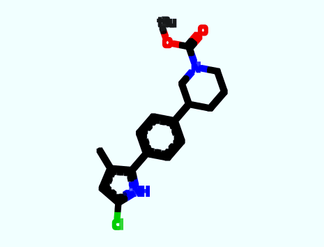 Cc1cc(Cl)[nH]c1-c1ccc(C2CCCN(C(=O)OC(C)(C)C)C2)cc1